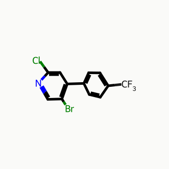 FC(F)(F)c1ccc(-c2cc(Cl)ncc2Br)cc1